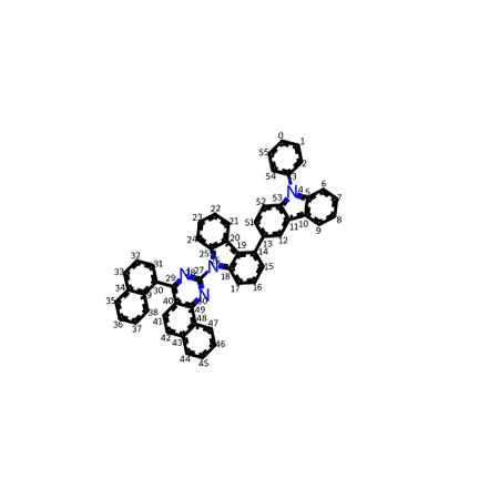 c1ccc(-n2c3ccccc3c3cc(-c4cccc5c4c4ccccc4n5-c4nc(-c5cccc6ccccc56)c5ccc6ccccc6c5n4)ccc32)cc1